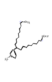 CCCCCCCC/C=C\CCCCCCCCC(CCCCCCCC/C=C\CCCCCCCC)C1=CCN(C)C=C1